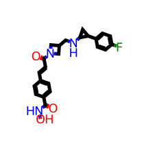 O=C(NO)c1ccc(/C=C/C(=O)N2CC(CNC3CC3c3ccc(F)cc3)C2)cc1